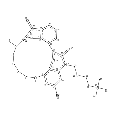 CC1CCCCOc2cc(Br)cc3c2nc(c(=O)n3COCC[Si](C)(C)C)-c2cccc3c(=O)n1sc23